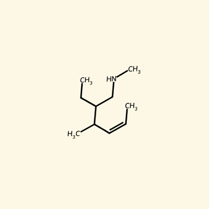 C/C=C\C(C)C(CC)CNC